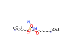 CCCCCCCC/C=C\CCCCCCCC(=O)OCC(COC(=O)CCCCCCC/C=C\CCCCCCCC)NC(=S)OCCN(C)C